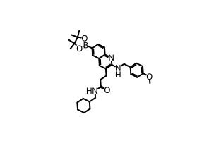 COc1ccc(CNc2nc3ccc(B4OC(C)(C)C(C)(C)O4)cc3cc2CCC(=O)NCC2CCCCC2)cc1